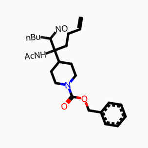 C=CCCC(NC(C)=O)(C1CCN(C(=O)OCc2ccccc2)CC1)C(CCCC)N=O